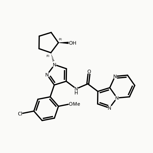 COc1ccc(Cl)cc1-c1nn([C@@H]2CCC[C@H]2O)cc1NC(=O)c1cnn2cccnc12